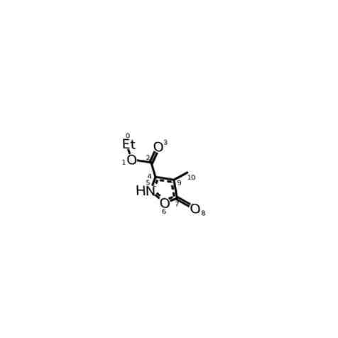 CCOC(=O)c1[nH]oc(=O)c1C